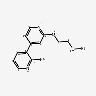 CCOCCOc1cc(-c2cccnc2F)ccn1